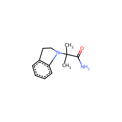 CC(C)(C(N)=O)N1CCc2ccccc21